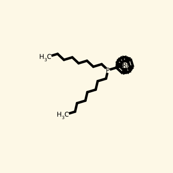 CCCCCCCCP(CCCCCCCC)[C]12[CH]3[CH]4[CH]5[CH]1[Ru]45321678[CH]2[CH]1[CH]6[CH]7[CH]28